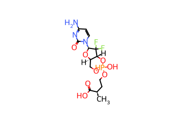 C[C@H](CCO[PH]1(O)OC[C@H]2O[C@@H](n3ccc(N)nc3=O)C(F)(F)[C@@H]2O1)C(=O)O